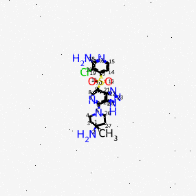 CC1(N)CCN(c2ncc(S(=O)(=O)c3ccnc(N)c3Cl)c3nn[nH]c23)CC1